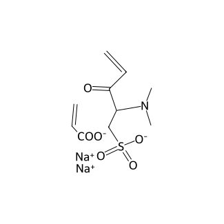 C=CC(=O)C(CS(=O)(=O)[O-])N(C)C.C=CC(=O)[O-].[Na+].[Na+]